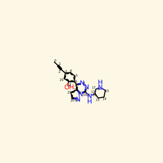 CC#Cc1ccc(-c2nnc(N[C@@H]3CCCNC3)n3nccc23)c(O)c1